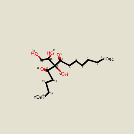 CCCCCCCCCCCCCCCC(=O)C(O)(C(=O)CCCCCCCCCCCCC)C(O)CO